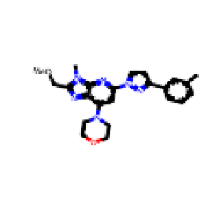 COCc1nc2c(N3CCOCC3)cc(-n3ccc(-c4cccc(C)c4)n3)nc2n1C